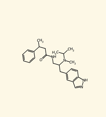 CC(CC(=O)NCC(Cc1ccc2[nH]ncc2c1)N(C)C(C)C)c1ccccc1